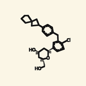 OC[C@@H]1C[C@H](O)C[C@H](c2ccc(Cl)c(Cc3ccc(C4CC5(CCCC5)C4)cc3)c2)O1